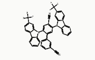 N#Cc1cccc(-c2cc(-n3c4ccccc4c4ccc(C(F)(F)F)cc43)c(C#N)cc2-n2c3ccccc3c3ccc(C(F)(F)F)cc32)c1